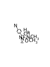 Cc1c(-c2ccc(C#N)cc2)nn(C2CC2)c1C(=O)NC(C)C